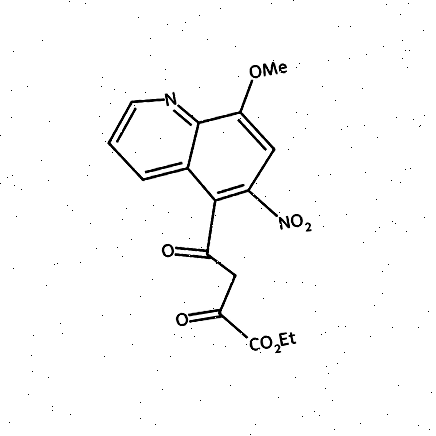 CCOC(=O)C(=O)CC(=O)c1c([N+](=O)[O-])cc(OC)c2ncccc12